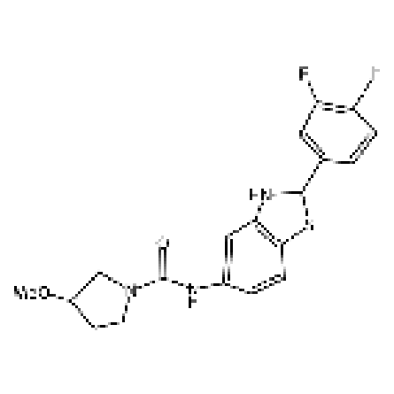 COC1CCN(C(=O)Nc2ccc3c(c2)NC(c2ccc(F)c(F)c2)S3)C1